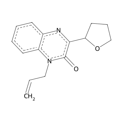 C=CCn1c(=O)c(C2CCCO2)nc2ccccc21